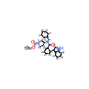 CC(C)(C)OC(=O)N1CC=C(N(Cc2ccccc2)C(=O)c2ccccc2-c2c[nH]c3ccccc23)CC1